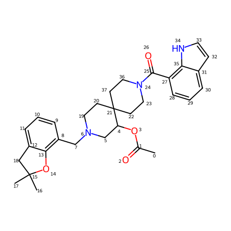 CC(=O)OC1CN(Cc2cccc3c2OC(C)(C)C3)CCC12CCN(C(=O)c1cccc3cc[nH]c13)CC2